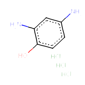 Cl.Cl.Cl.Nc1ccc(O)c(N)c1